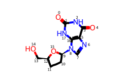 O=c1[nH]c(=O)c2ncn([C@H]3CC[C@@H]([CH]O)O3)c2[nH]1